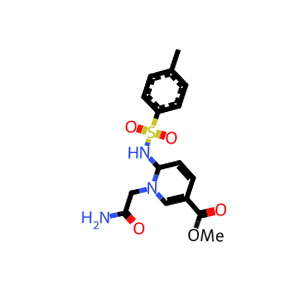 COC(=O)C1=CN(CC(N)=O)C(NS(=O)(=O)c2ccc(C)cc2)C=C1